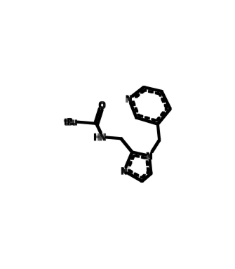 CC(C)(C)C(=O)NCc1nccn1Cc1cccnc1